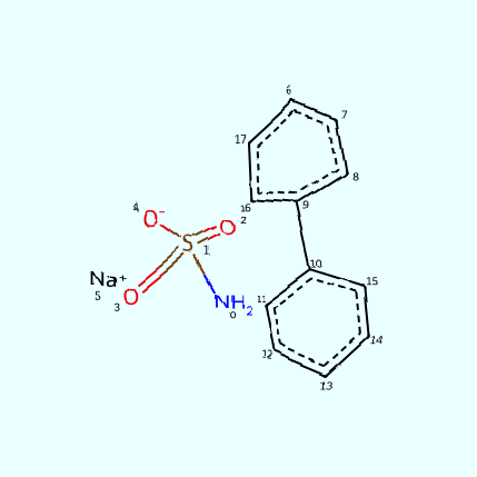 NS(=O)(=O)[O-].[Na+].c1ccc(-c2ccccc2)cc1